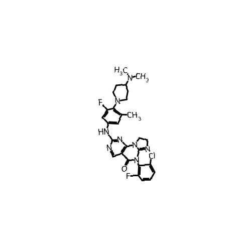 Cc1cc(Nc2ncc3c(n2)N2CCN=C2N(c2c(F)cccc2Cl)C3=O)cc(F)c1N1CCC(N(C)C)CC1